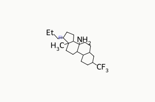 CC/C=C1\CCC2C1(C)CCC1C3CCC(C(F)(F)F)CC3CCC12N